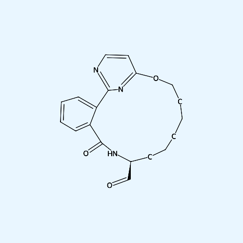 O=C[C@@H]1CCCCCCOc2ccnc(n2)-c2ccccc2C(=O)N1